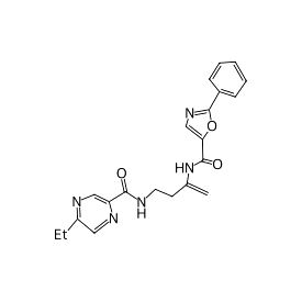 C=C(CCNC(=O)c1cnc(CC)cn1)NC(=O)c1cnc(-c2ccccc2)o1